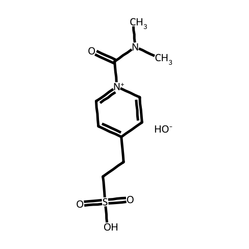 CN(C)C(=O)[n+]1ccc(CCS(=O)(=O)O)cc1.[OH-]